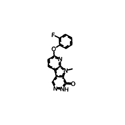 Cn1c2nc(Oc3ccccc3F)ccc2c2cn[nH]c(=O)c21